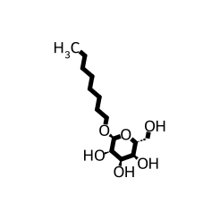 CCCCCCCCO[C@H]1O[C@H](CO)[C@@H](O)[C@@H](O)[C@@H]1O